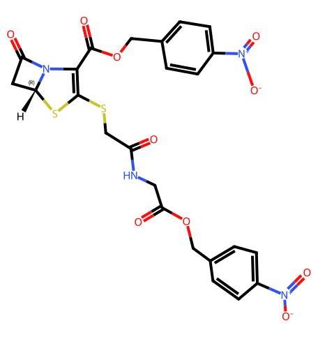 O=C(CSC1=C(C(=O)OCc2ccc([N+](=O)[O-])cc2)N2C(=O)C[C@H]2S1)NCC(=O)OCc1ccc([N+](=O)[O-])cc1